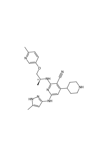 Cc1ccc(OC[C@H](C)Nc2nc(Nc3cc(C)[nH]n3)cc(C3CCNCC3)c2C#N)cn1